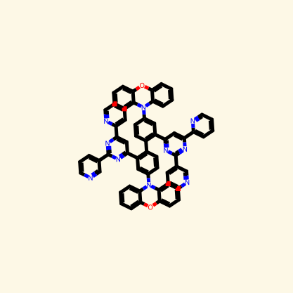 c1ccc(-c2cc(-c3cc(N4c5ccccc5Oc5ccccc54)ccc3-c3ccc(N4c5ccccc5Oc5ccccc54)cc3-c3cc(-c4ccccn4)nc(-c4cccnc4)n3)nc(-c3cccnc3)n2)nc1